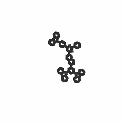 c1ccc(-c2nc(-c3ccc(-n4c5ccccc5c5ccccc54)cc3)cc(-c3ccc4cc(-c5cc(-n6c7ccccc7c7ccccc76)cc(-n6c7ccccc7c7ccccc76)c5)ccc4c3)n2)cc1